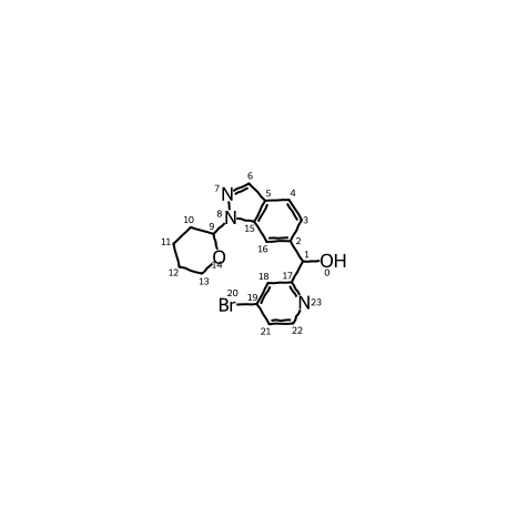 OC(c1ccc2cnn(C3CCCCO3)c2c1)c1cc(Br)ccn1